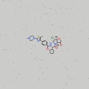 Cc1sc(N2CCN(C)CC2)nc1-c1ccc(C(=O)N[C@H](C(=O)N2C[C@H](Cl)[C@H]3OCC(=O)[C@H]32)C2CCCC2)cc1